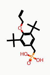 C=CCOc1c(C(C)(C)C)cc(CP(=O)(O)O)cc1C(C)(C)C